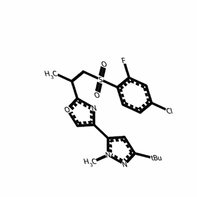 CC(CS(=O)(=O)c1ccc(Cl)cc1F)c1nc(-c2cc(C(C)(C)C)nn2C)co1